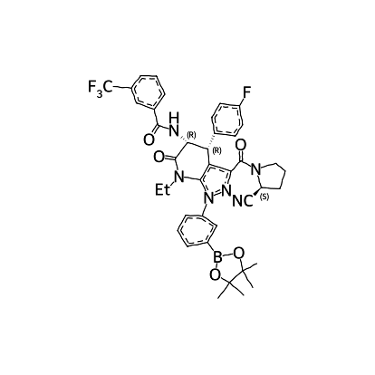 CCN1C(=O)[C@H](NC(=O)c2cccc(C(F)(F)F)c2)[C@H](c2ccc(F)cc2)c2c(C(=O)N3CCC[C@H]3C#N)nn(-c3cccc(B4OC(C)(C)C(C)(C)O4)c3)c21